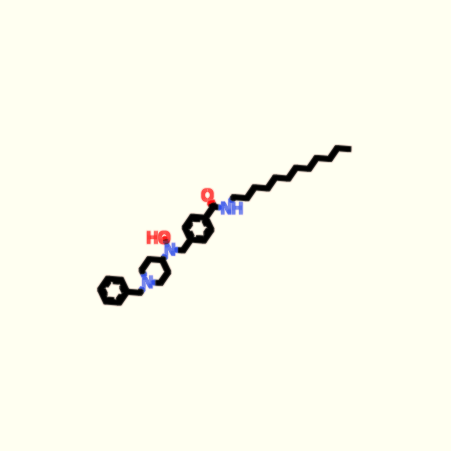 CCCCCCCCCCCCNC(=O)c1ccc(CN(O)C2CCN(Cc3ccccc3)CC2)cc1